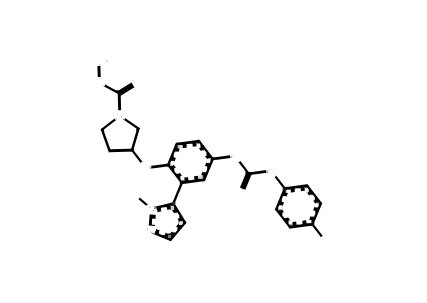 Cn1nccc1-c1cc(NC(=O)Nc2ccc(Cl)cc2)ccc1OC1CCN(C(=O)OC(C)(C)C)C1